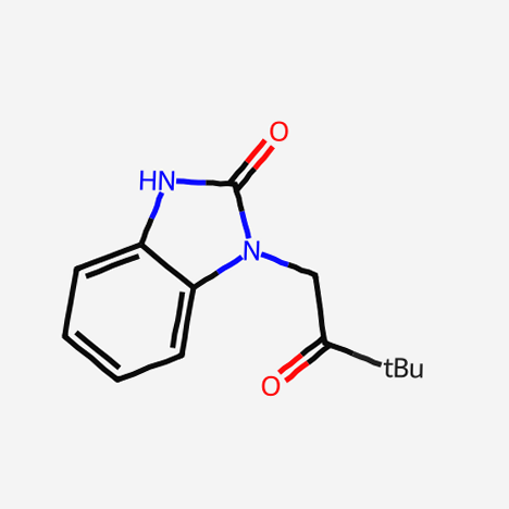 CC(C)(C)C(=O)Cn1c(=O)[nH]c2ccccc21